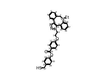 CCN1Cc2ccccc2-c2nnn(CCOc3ccc(C(=O)Oc4ccc(CS)cc4)cc3)c2-c2ccccc21